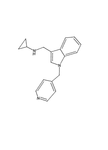 c1ccc2c(c1)c(CNC1CC1)cn2Cc1ccncc1